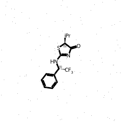 CC(C)[C@@H]1SC(N[C@@H](c2ccccc2)C(F)(F)F)=NC1=O